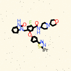 CC(C)c1nnc(-c2ccc(Oc3cc(C(=O)NC4CCN(C5CCOCC5)CC4)c(F)cc3Cn3c(=O)[nH]c4ccccc43)cc2)s1